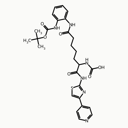 CC(C)(C)OC(=O)Nc1ccccc1NC(=O)CCCCC(NC(=O)O)C(=O)Nc1nc(-c2ccncc2)cs1